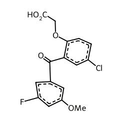 COc1cc(F)cc(C(=O)c2cc(Cl)ccc2OCC(=O)O)c1